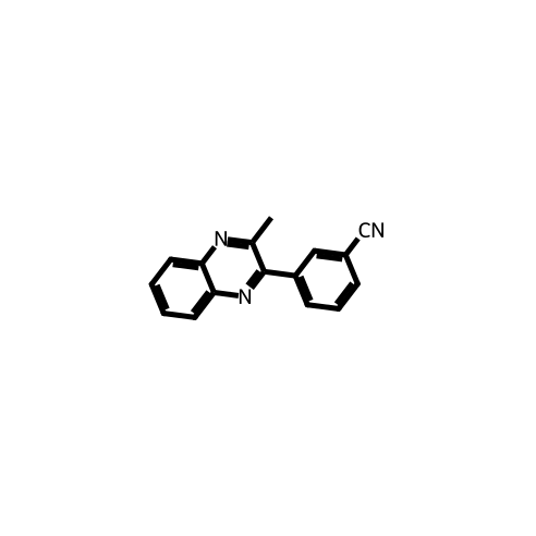 Cc1nc2ccccc2nc1-c1cccc(C#N)c1